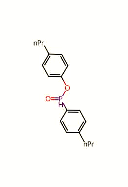 CCCc1ccc(O[PH](=O)c2ccc(CCC)cc2)cc1